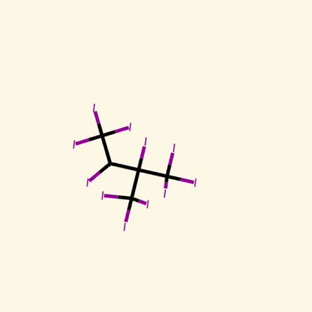 I[C](C(I)(I)I)C(I)(C(I)(I)I)C(I)(I)I